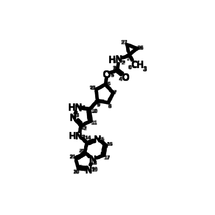 CC1(NC(=O)OC2CCC(c3cc(Nc4nccn5nccc45)n[nH]3)C2)CC1